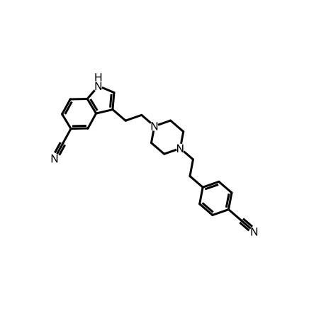 N#Cc1ccc(CCN2CCN(CCc3c[nH]c4ccc(C#N)cc34)CC2)cc1